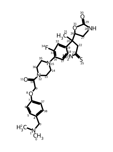 CN(C)Cc1ccc(OCC(=O)N2CCN(c3ccc(C(C)(CC(N)=S)C4CNC(=O)O4)cc3F)CC2)cc1